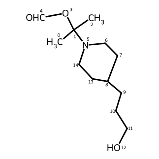 CC(C)(OC=O)N1CCC(CCCO)CC1